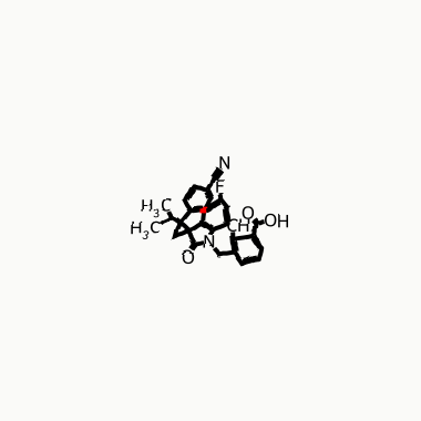 Cc1c(CN2C(=O)C3(CC3(c3ccc(C#N)cc3)C(C)C)c3cc(F)ccc32)cccc1C(=O)O